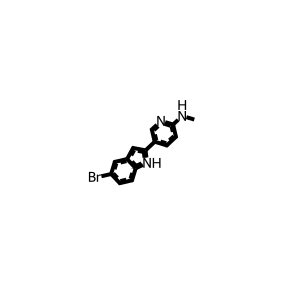 CNc1ccc(-c2cc3cc(Br)ccc3[nH]2)cn1